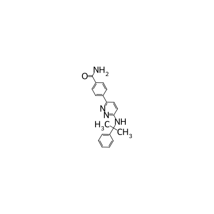 CC(C)(Nc1ccc(-c2ccc(C(N)=O)cc2)nn1)c1ccccc1